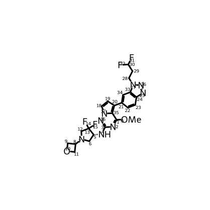 COc1nc(N[C@@H]2CN(C3COC3)CC2(F)F)nn2ccc(-c3ccc4nnn(CCC(F)F)c4c3)c12